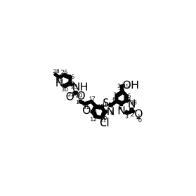 COc1cnc2c(-c3nc4c(Cl)cc5c(c4s3)CC(COC(=O)Nc3ccc(C)nc3)O5)cc(CO)cc2n1